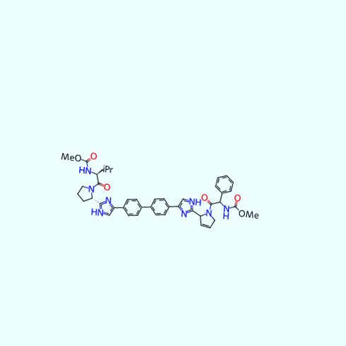 COC(=O)NC(C(=O)N1CC=CC1c1nc(-c2ccc(-c3ccc(-c4c[nH]c([C@@H]5CCCN5C(=O)[C@@H](NC(=O)OC)C(C)C)n4)cc3)cc2)c[nH]1)c1ccccc1